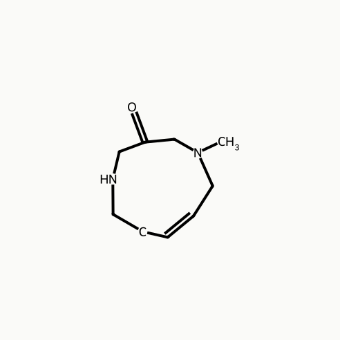 CN1C/C=C\CCNCC(=O)C1